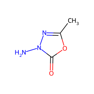 Cc1nn(N)c(=O)o1